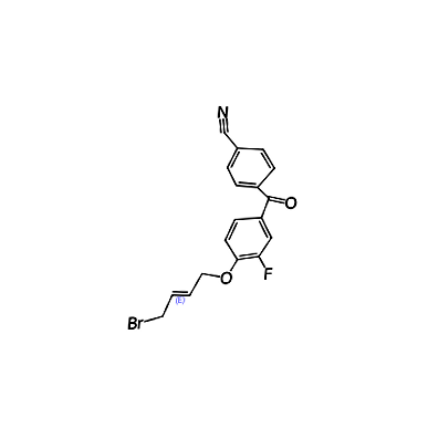 N#Cc1ccc(C(=O)c2ccc(OC/C=C/CBr)c(F)c2)cc1